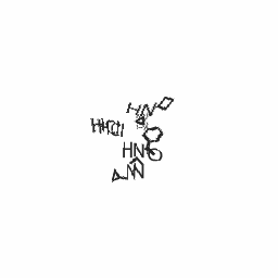 Cl.Cl.O=C(Nc1cnn(CC2CC2)c1)c1cccc([C@@H]2C[C@H]2NC2CCC2)c1